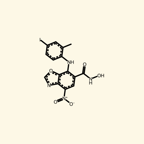 Cc1cc(I)ccc1Nc1c(C(=O)NO)cc([N+](=O)[O-])c2ncoc12